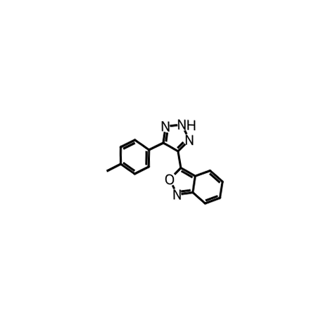 Cc1ccc(-c2n[nH]nc2-c2onc3ccccc23)cc1